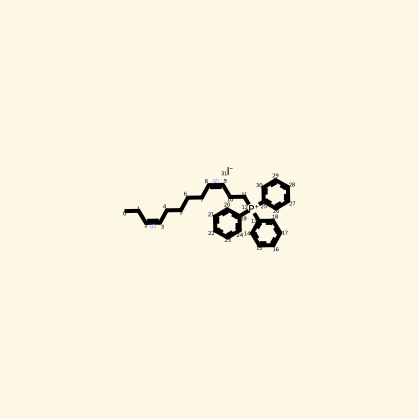 CC/C=C\CCCC/C=C\CC[P+](c1ccccc1)(c1ccccc1)c1ccccc1.[I-]